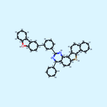 c1ccc(-c2nc(-c3cccc(-c4ccc5oc6ccccc6c5c4)c3)nc3c2ccc2sc4c5ccccc5ccc4c23)cc1